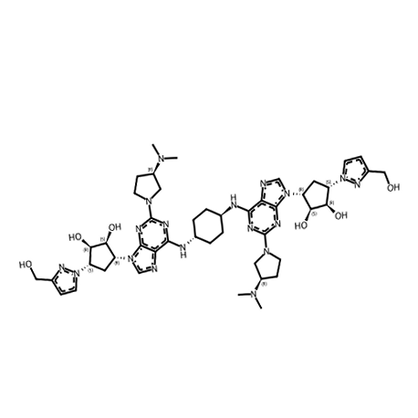 CN(C)[C@@H]1CCN(c2nc(N[C@H]3CC[C@H](Nc4nc(N5CC[C@@H](N(C)C)C5)nc5c4ncn5[C@@H]4C[C@H](n5ccc(CO)n5)[C@@H](O)[C@H]4O)CC3)c3ncn([C@@H]4C[C@H](n5ccc(CO)n5)[C@@H](O)[C@H]4O)c3n2)C1